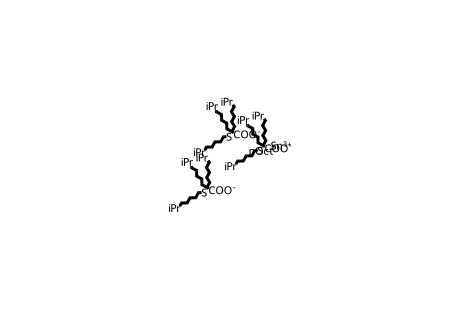 CC(C)CCCCCSC(CCCCCC(C)C)(CCCCCC(C)C)C(=O)[O-].CC(C)CCCCCSC(CCCCCC(C)C)(CCCCCC(C)C)C(=O)[O-].CC(C)CCCCCSC(CCCCCC(C)C)(CCCCCC(C)C)C(=O)[O-].CCCCCCC[CH2][Sn+3]